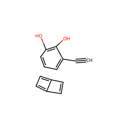 C#Cc1cccc(O)c1O.c1cc2ccc1-2